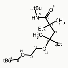 CCC(C)(CC(C)(CC)C(=O)NC(C)(C)C)OCCOCC(C)(C)C